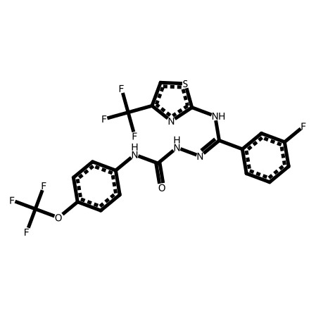 O=C(NN=C(Nc1nc(C(F)(F)F)cs1)c1cccc(F)c1)Nc1ccc(OC(F)(F)F)cc1